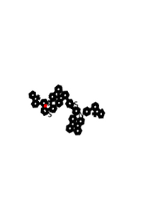 CC1(C)c2ccccc2-c2cccc(-c3ccc(N(c4ccc5c(c4)C4(c6ccccc6-c6ccccc64)c4ccccc4-5)c4ccc5c(c4)sc4cc(-c6cccc7c6-c6ccccc6C76c7ccccc7-c7ccc(N(c8ccc(-c9cccc%10c9C(C)(C)c9ccccc9-%10)cc8)c8cccc9sc%10ccccc%10c89)cc76)ccc45)cc3)c21